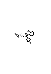 CS(=O)(=O)OCCC1(c2ccc(F)cc2)OC1c1ccccc1Cl